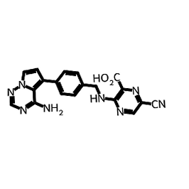 N#Cc1cnc(NCc2ccc(-c3ccn4ncnc(N)c34)cc2)c(C(=O)O)n1